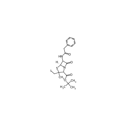 CC(C)(C)OC(=O)C1N2C(=O)C(NC(=O)Cc3ccccc3)[C@@H]2SC1(C)CI